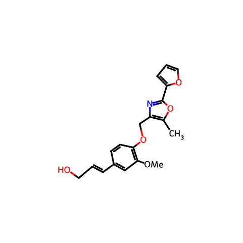 COc1cc(/C=C/CO)ccc1OCc1nc(-c2ccco2)oc1C